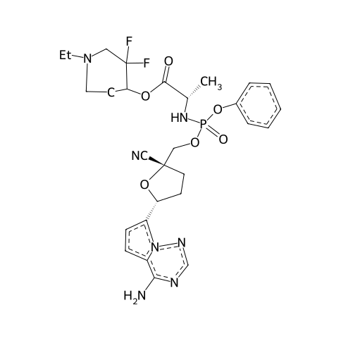 CCN1CCC(OC(=O)[C@H](C)NP(=O)(OC[C@]2(C#N)CC[C@H](c3ccc4c(N)ncnn34)O2)Oc2ccccc2)C(F)(F)C1